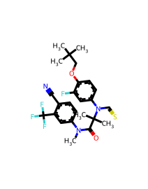 CN(C(=O)C(C)(C)N(C=S)c1ccc(OCC(C)(C)C)c(F)c1)c1ccc(C#N)c(C(F)(F)F)c1